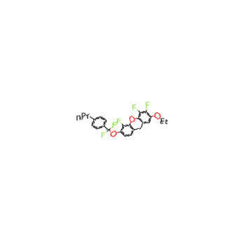 CCCc1ccc(C(F)(F)Oc2ccc3c(c2F)Oc2c(cc(OCC)c(F)c2F)C3)cc1